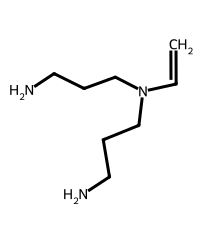 C=CN(CCCN)CCCN